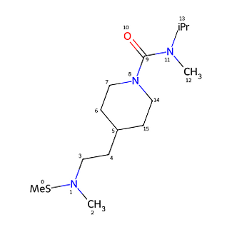 CSN(C)CCC1CCN(C(=O)N(C)C(C)C)CC1